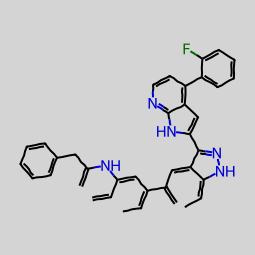 C=C/C(=C\C(=C/C)C(=C)/C=c1/c(-c2cc3c(-c4ccccc4F)ccnc3[nH]2)n[nH]/c1=C/C)NC(=C)Cc1ccccc1